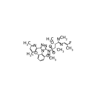 C=N/C(=N\C=C(/C)F)[C@@H](OC)[C@H](C)S(=O)(=O)Nc1nnc(-c2cccc(C)n2)n1-c1c(OC)cccc1OC